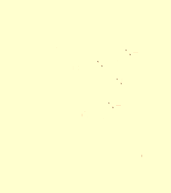 Nc1nc(NC(=O)c2cccc(Cl)c2)cc(OCc2ccccc2)n1